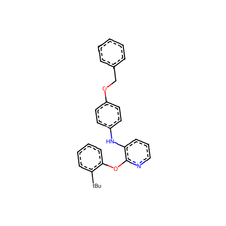 CC(C)(C)c1ccccc1Oc1ncccc1Nc1ccc(OCc2ccccc2)cc1